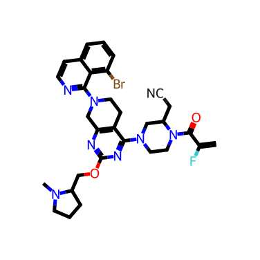 C=C(F)C(=O)N1CCN(c2nc(OCC3CCCN3C)nc3c2CCN(c2nccc4cccc(Br)c24)C3)CC1CC#N